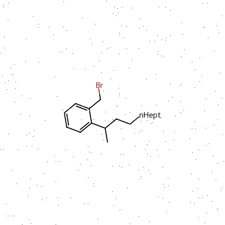 CCCCCCCCCC(C)c1ccccc1CBr